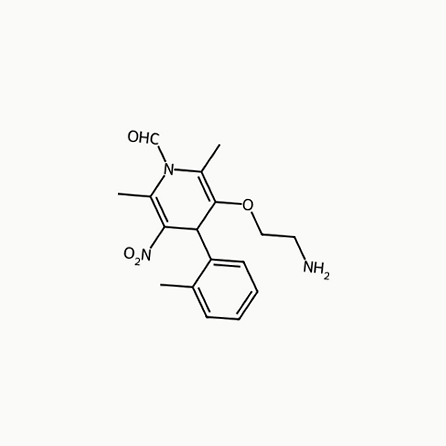 CC1=C(OCCN)C(c2ccccc2C)C([N+](=O)[O-])=C(C)N1C=O